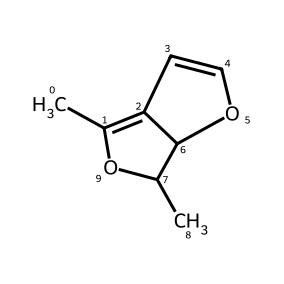 CC1=C2C=COC2C(C)O1